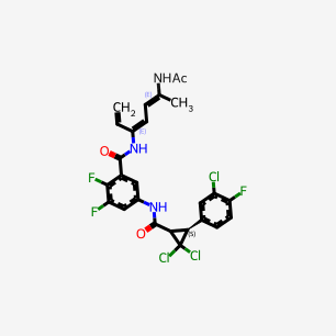 C=C/C(=C\C=C(/C)NC(C)=O)NC(=O)c1cc(NC(=O)C2[C@@H](c3ccc(F)c(Cl)c3)C2(Cl)Cl)cc(F)c1F